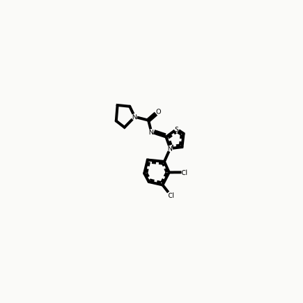 O=C(N=c1sccn1-c1cccc(Cl)c1Cl)N1CCCC1